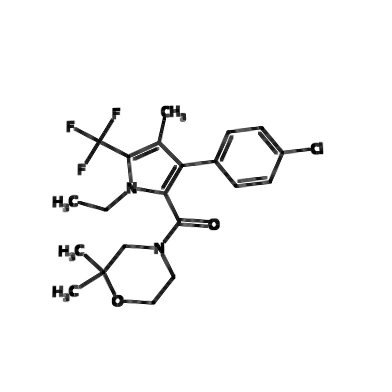 CCn1c(C(=O)N2CCOC(C)(C)C2)c(-c2ccc(Cl)cc2)c(C)c1C(F)(F)F